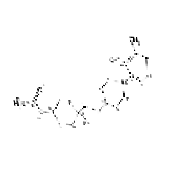 Cc1cccc(N2CCN(CCC3(F)CCC(OC(N)=O)CC3)CC2)c1Cl